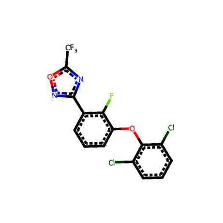 Fc1c(Oc2c(Cl)cccc2Cl)[c]ccc1-c1noc(C(F)(F)F)n1